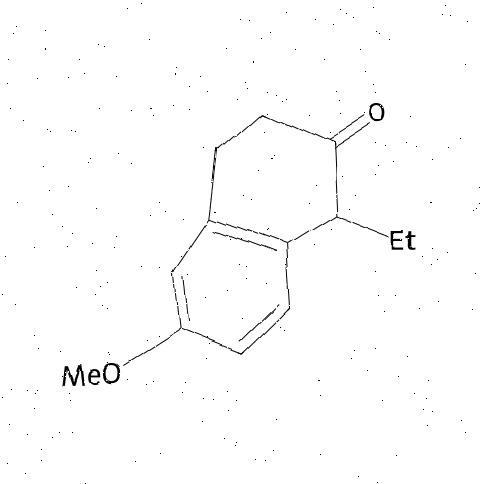 CCC1C(=O)CCc2cc(OC)ccc21